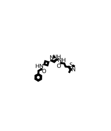 Cc1ncsc1CCC(=O)Nc1cc([C@H]2C[C@@H](NC(=O)Cc3ccccc3)C2)n[nH]1